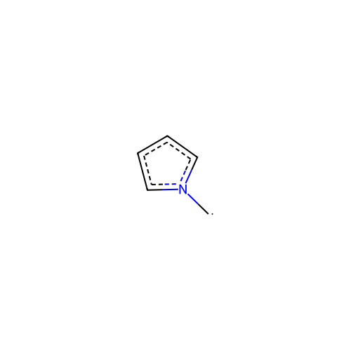 [CH2]n1cccc1